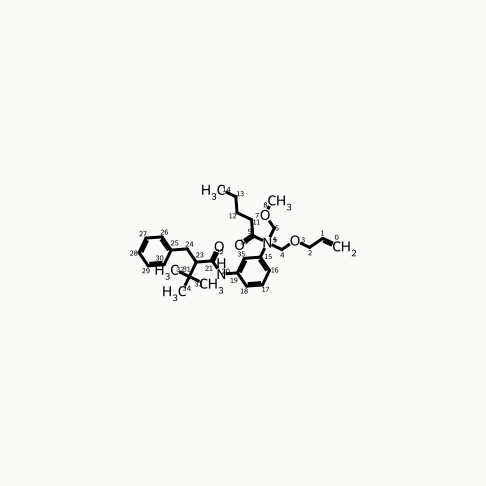 C=CCOC[N+](COC)(C(=O)CCCC)c1cccc(NC(=O)C(Cc2ccccc2)C(C)(C)C)c1